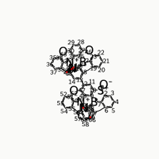 [O-][S+]1c2cccc3c2B2c4c1cc(-c1cc[n+]5c6c1-c1cccc7c1B6c1c(ccc6c1[N+]51c5c(cccc5-c5cccc[n+]51)O6)O7)c1c4[N+]4(c5c(cccc5-c5cccc[n+]54)O1)[n+]1cccc-3c12